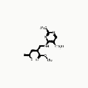 C=C(F)CC(CNc1nc(SC)ncc1C(=O)OCC)C(=O)OC(C)(C)C